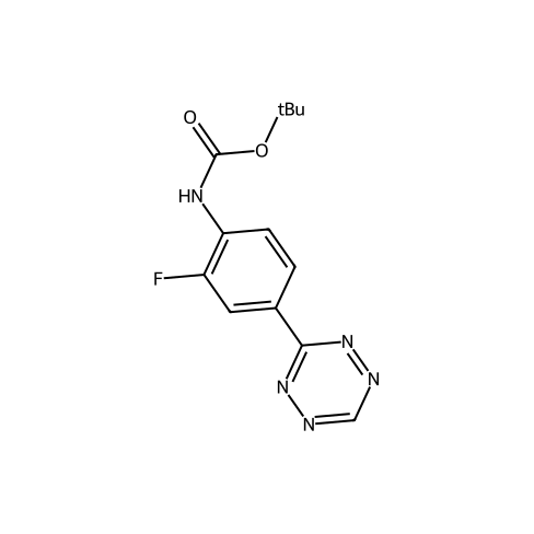 CC(C)(C)OC(=O)Nc1ccc(-c2nncnn2)cc1F